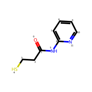 O=C(CCS)Nc1ccccn1